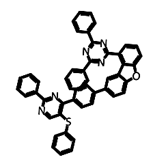 c1ccc(Sc2cnc(-c3ccccc3)nc2-c2ccc(-c3ccc4oc5cccc(-c6nc(-c7ccccc7)nc(-c7ccccc7)n6)c5c4c3)cc2)cc1